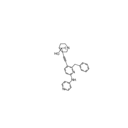 OC1(C#Cc2ccc(Nc3ccncc3)nc2Cc2ccccc2)CN2CCC1CC2